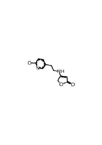 O=C1C=C(NCCc2ccc(Cl)nc2)CO1